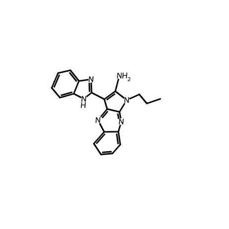 CCCn1c(N)c(-c2nc3ccccc3[nH]2)c2nc3ccccc3nc21